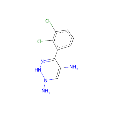 NC1=CN(N)NN=C1c1cccc(Cl)c1Cl